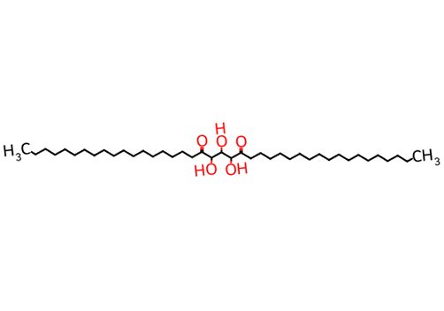 CCCCCCCCCCCCCCCCCCC(=O)C(O)C(O)C(O)C(=O)CCCCCCCCCCCCCCCCCC